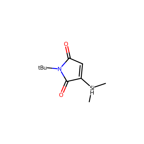 C[SiH](C)C1=CC(=O)N(C(C)(C)C)C1=O